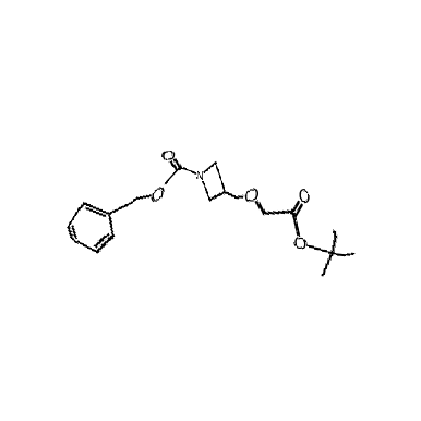 CC(C)(C)OC(=O)COC1CN(C(=O)OCc2ccccc2)C1